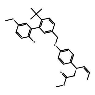 C/C=C\[C@@H](CC(=O)OC)c1ccc(OCc2ccc(C(C)(C)C)c(-c3cc(OC)ccc3F)c2)cc1